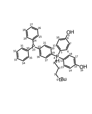 CC(C)(C)CCC[PH](c1ccc(O)cc1)(c1ccc(O)cc1)c1ccc(P(c2ccccc2)c2ccccc2)cc1